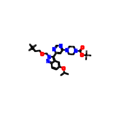 CC(C)Oc1ccc2nn(COCC[Si](C)(C)C)c(-c3cc(N4CCN(C(=O)OC(C)(C)C)CC4)ncn3)c2c1